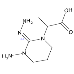 CC(C(=O)O)N1CCCN(N)/C1=N/N